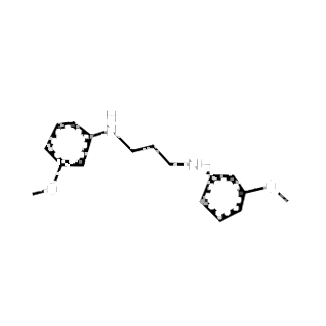 COc1cccc(NCCCNc2cccc(OC)c2)c1